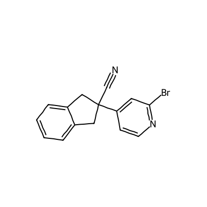 N#CC1(c2ccnc(Br)c2)Cc2ccccc2C1